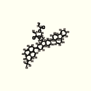 C=CC(=O)OCCCC1(COC(=O)C=C)c2cc(-c3ccc4c5c(cccc35)-c3ccccc3-4)ccc2-c2ccc(-c3ccc4ccc5cc(C(C)(C)C)cc6ccc3c4c56)cc21